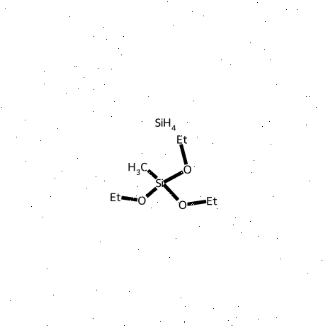 CCO[Si](C)(OCC)OCC.[SiH4]